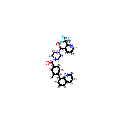 Cc1cc(C(=O)N2CCN(C(=O)c3cccnc3C(F)(F)F)CC2)ccc1-c1cccc2cccnc12